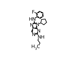 CCCNc1ncc2nc(Nc3ccccc3F)n(C3CCCC3)c2n1